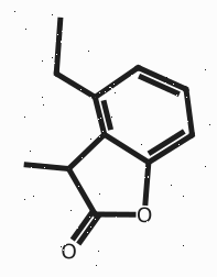 CCc1cccc2c1C(C)C(=O)O2